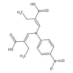 CCC(=CN(C=C(CC)C(=O)O)c1ccc([N+](=O)[O-])cc1)C(=O)O